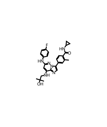 Cc1cc(-c2cnc3c(NCC(C)(C)O)cc(Nc4ccc(F)cc4)nn23)ccc1C(=O)NC1CC1